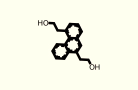 OCCc1cc2cccc(CCO)c2c2ccccc12